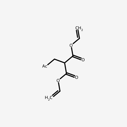 C=COC(=O)C(CC(C)=O)C(=O)OC=C